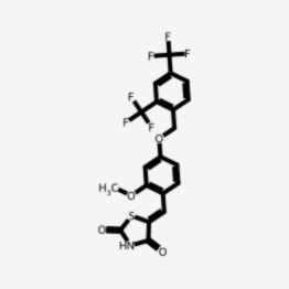 COc1cc(OCc2ccc(C(F)(F)F)cc2C(F)(F)F)ccc1C=C1SC(=O)NC1=O